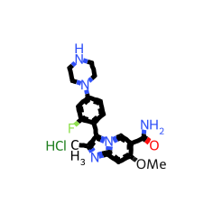 COc1cc2nc(C)c(-c3ccc(N4CCNCC4)cc3F)n2cc1C(N)=O.Cl